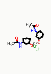 CC(=O)Nc1cccc([O][Zr+2][O]c2cccc(NC(C)=O)c2)c1.[Cl-].[Cl-]